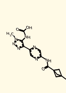 Cn1nnc(-c2cnc(NC(=O)C34CC(F)(C3)C4)cn2)c1NC(=O)O